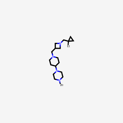 CCC1(CN2CC(CN3CCC(N4CCN(C(C)C)CC4)CC3)C2)CC1